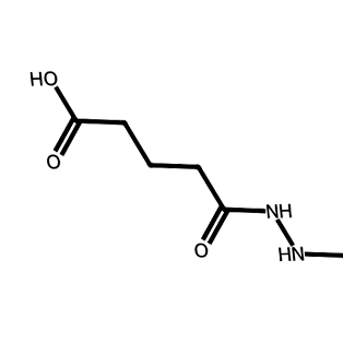 CNNC(=O)CCCC(=O)O